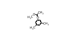 COC(C)=O.Cc1cccc(C)c1